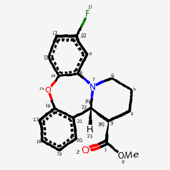 COC(=O)[C@@H]1CCCN2c3cc(F)ccc3Oc3ccccc3[C@@H]12